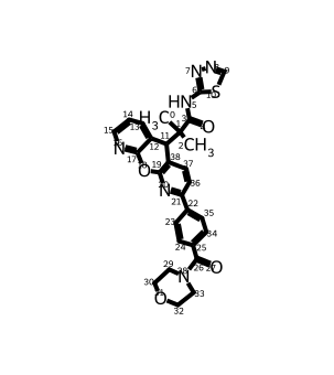 CC(C)(C(=O)Nc1nncs1)C1c2cccnc2Oc2nc(-c3ccc(C(=O)N4CCOCC4)cc3)ccc21